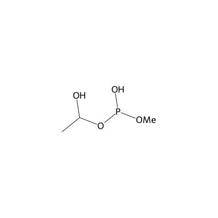 COP(O)OC(C)O